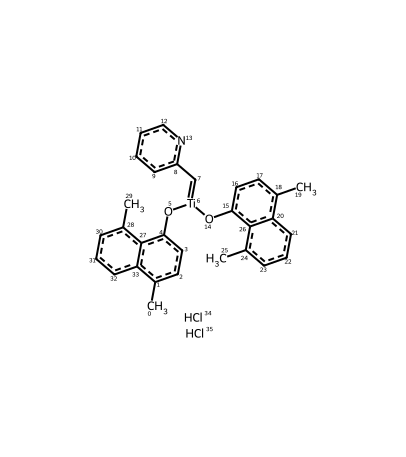 Cc1ccc([O][Ti](=[CH]c2ccccn2)[O]c2ccc(C)c3cccc(C)c23)c2c(C)cccc12.Cl.Cl